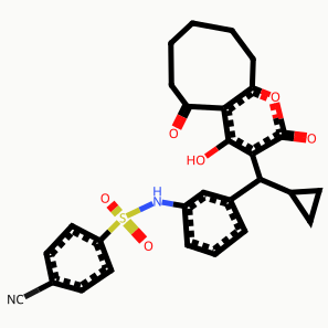 N#Cc1ccc(S(=O)(=O)Nc2cccc(C(c3c(O)c4c(oc3=O)CCCCCC4=O)C3CC3)c2)cc1